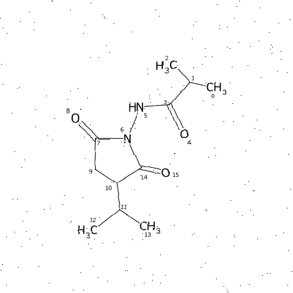 CC(C)C(=O)NN1C(=O)CC(C(C)C)C1=O